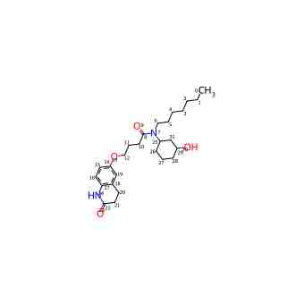 CCCCCCCN(C(=O)CCCOc1ccc2c(c1)CCC(=O)N2)C1CCCC(O)C1